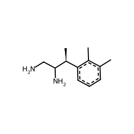 Cc1cccc([C@H](C)C(N)CN)c1C